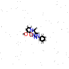 COc1cccn(C(C)c2cn(-c3ccccc3)nn2)c1=O